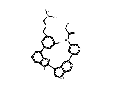 CC(C)CC(=O)Nc1cncc(-c2cc3c(-c4nc5c(-c6cc(F)cc(COCN(C)C)c6)ccnc5[nH]4)n[nH]c3cn2)c1